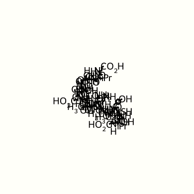 CC(C)C[C@H](NC(=O)[C@@H](N)CCC(=O)O)C(=O)NCC(=O)N[C@@H](CO)C(=O)N[C@@H](CC(=O)O)C(=O)N[C@@H](CO)C(=O)N[C@@H](CO)C(=O)N[C@@H](CCC(=O)O)C(=O)N[C@@H](CC(=O)O)C(=O)N[C@H](C(=O)N[C@H](C(=O)N[C@@H](CC(N)=O)C(=O)N[C@@H](CCCCN)C(=O)N[C@@H](C)C(=O)N[C@H](C(=O)N[C@@H](Cc1ccc(O)cc1)C(=O)N[C@@H](CS)C(=O)N[C@@H](CO)C(=O)N[C@H](C(=O)NCC(=O)O)C(C)C)[C@@H](C)O)C(C)C)[C@@H](C)O